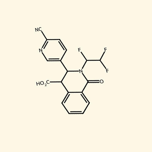 N#Cc1ccc(C2C(C(=O)O)c3ccccc3C(=O)N2C(F)C(F)F)cn1